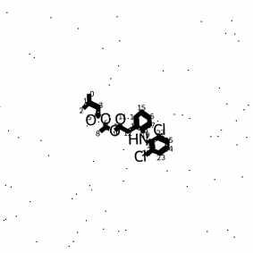 CC(C)=CC(=O)OC(C)OC(=O)Cc1ccccc1Nc1c(Cl)cccc1Cl